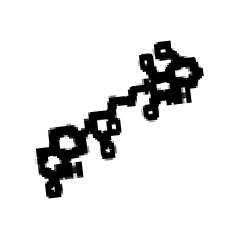 O=C1CSc2ccc(N3CC(CCCn4c(=O)[nH]c5cccc(Cl)c5c4=O)OC3=O)cc2N1